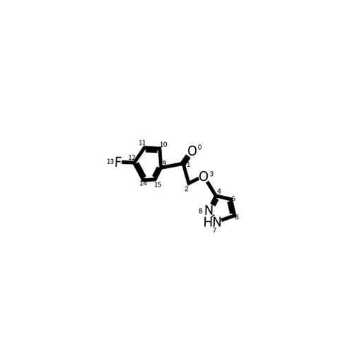 O=C(COc1cc[nH]n1)c1ccc(F)cc1